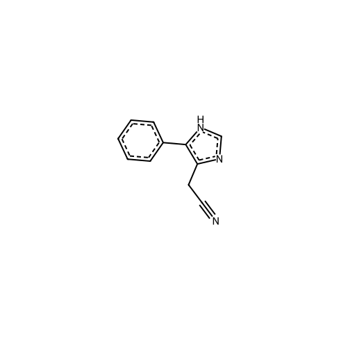 N#CCc1nc[nH]c1-c1ccccc1